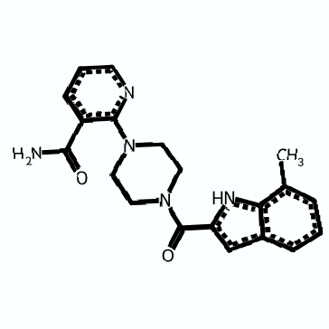 Cc1cccc2cc(C(=O)N3CCN(c4ncccc4C(N)=O)CC3)[nH]c12